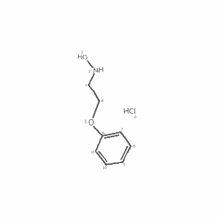 Cl.ONCCOc1ccccc1